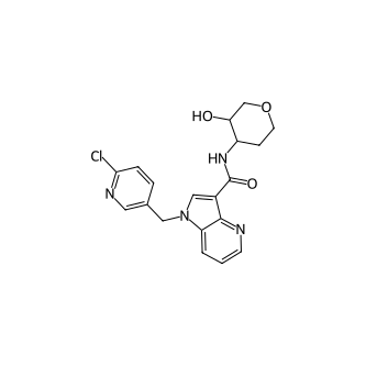 O=C(NC1CCOCC1O)c1cn(Cc2ccc(Cl)nc2)c2cccnc12